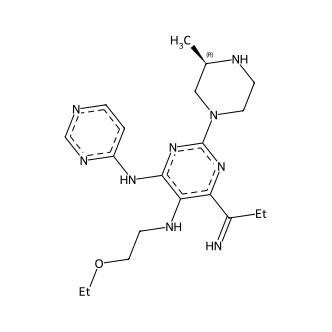 CCOCCNc1c(Nc2ccncn2)nc(N2CCN[C@H](C)C2)nc1C(=N)CC